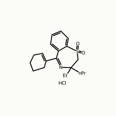 CCCC1(CC)CS(=O)(=O)c2ccccc2C(C2=CCCCC2)=N1.Cl